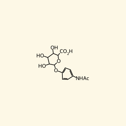 CC(=O)Nc1ccc(OC2OC(C(=O)O)C(O)C(O)C2O)cc1